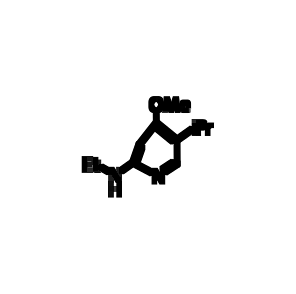 CCNc1cc(OC)c(C(C)C)cn1